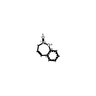 O=[N+]1CC=Cc2ccccc2O1